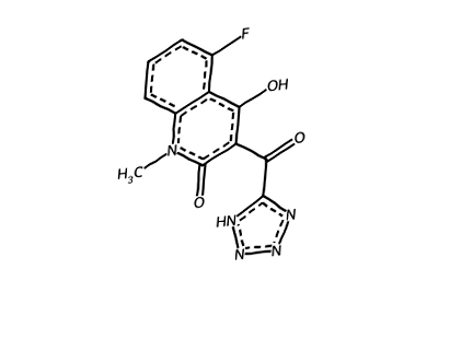 Cn1c(=O)c(C(=O)c2nnn[nH]2)c(O)c2c(F)cccc21